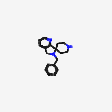 c1ccc(CN2Cc3cccnc3C23CCNCC3)cc1